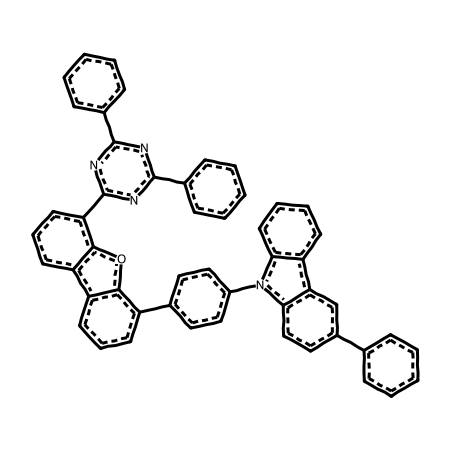 c1ccc(-c2ccc3c(c2)c2ccccc2n3-c2ccc(-c3cccc4c3oc3c(-c5nc(-c6ccccc6)nc(-c6ccccc6)n5)cccc34)cc2)cc1